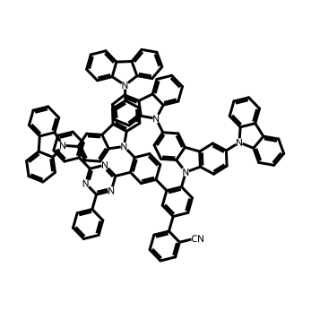 N#Cc1ccccc1-c1ccc(-n2c3ccc(-n4c5ccccc5c5ccccc54)cc3c3cc(-n4c5ccccc5c5ccccc54)ccc32)c(-c2ccc(-n3c4ccc(-n5c6ccccc6c6ccccc65)cc4c4cc(-n5c6ccccc6c6ccccc65)ccc43)c(-c3nc(-c4ccccc4)nc(-c4ccccc4)n3)c2)c1